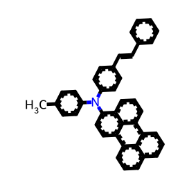 Cc1ccc(N(c2ccc(C=Cc3ccccc3)cc2)c2ccc3c4cccc5cccc(c6cccc2c63)c54)cc1